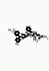 Cc1ccc(C(c2ccc(Cl)cc2)N2CCN(Cc3nc(N[C@@H](CCCN(C)C)C(N)=O)c4ccccc4n3)CC2)cc1